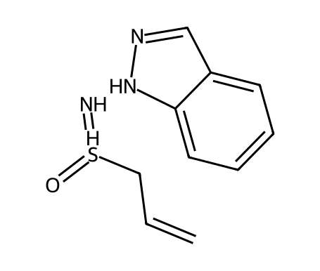 C=CC[SH](=N)=O.c1ccc2[nH]ncc2c1